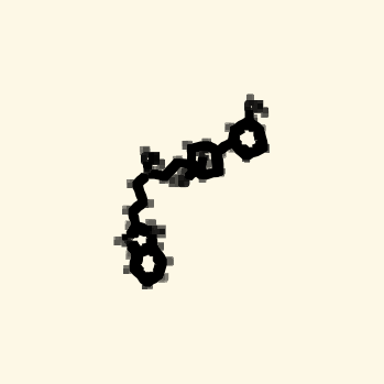 Cc1cccc(C2=CC3CCC2CC3(O)CCN(C)CCCc2nc3ccccc3[nH]2)c1